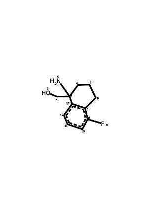 NC1(CO)CCCc2c(F)cccc21